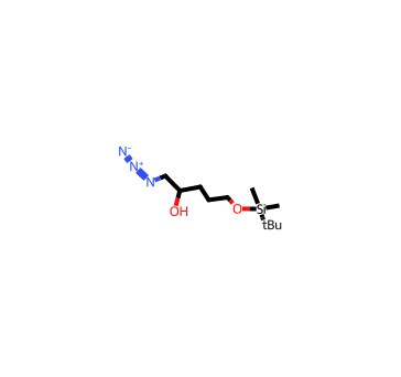 CC(C)(C)[Si](C)(C)OCCCC(O)CN=[N+]=[N-]